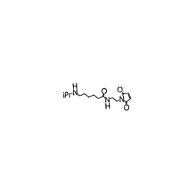 CC(C)NCCCCCC(=O)NCCN1C(=O)C=CC1=O